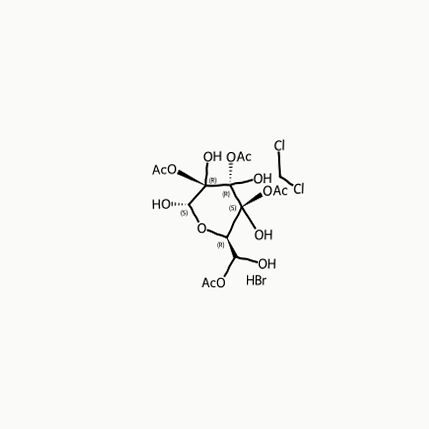 Br.CC(=O)OC(O)[C@H]1O[C@H](O)[C@@](O)(OC(C)=O)[C@](O)(OC(C)=O)[C@@]1(O)OC(C)=O.ClCCl